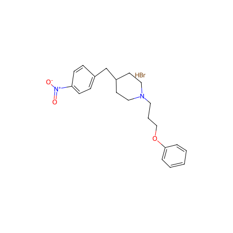 Br.O=[N+]([O-])c1ccc(CC2CCN(CCCOc3ccccc3)CC2)cc1